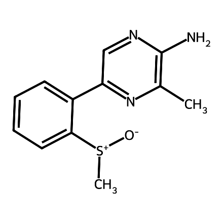 Cc1nc(-c2ccccc2[S+](C)[O-])cnc1N